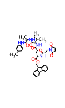 [CH2]c1ccc(NC(=O)[C@H](C)NC(=O)[C@@H](NC(=O)CC[C@H](NC(=O)CCN2C(=O)C=CC2=O)C(=O)OCC2c3ccccc3-c3ccccc32)C(C)C)cc1